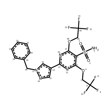 NS(=O)(=O)c1c(OCC(F)(F)F)nc(-c2cnn(Cc3ccccc3)c2)nc1OCC(F)(F)F